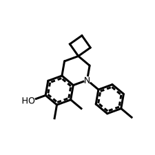 Cc1ccc(N2CC3(CCC3)Cc3cc(O)c(C)c(C)c32)cc1